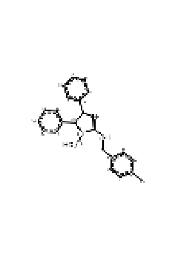 O=C(O)N1C(NCc2ccc(F)cc2)=NC(c2ccccc2)C1c1ccccc1